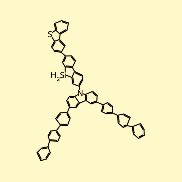 c1ccc(-c2ccc(-c3ccc(-c4ccc5c(c4)c4cc(-c6ccc(-c7ccc(-c8ccccc8)cc7)cc6)ccc4n5-c4ccc5c(c4)[SiH2]c4cc(-c6ccc7sc8ccccc8c7c6)ccc4-5)cc3)cc2)cc1